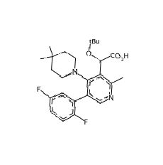 Cc1ncc(-c2cc(F)ccc2F)c(N2CCC(C)(C)CC2)c1C(OC(C)(C)C)C(=O)O